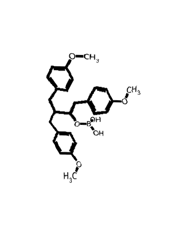 COc1ccc(CC(Cc2ccc(OC)cc2)C(Cc2ccc(OC)cc2)OB(O)O)cc1